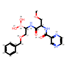 COCC(NC(=O)c1cnccn1)C(=O)NC(COCc1ccccc1)B(O)O